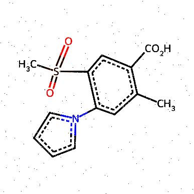 Cc1cc(-n2cccc2)c(S(C)(=O)=O)cc1C(=O)O